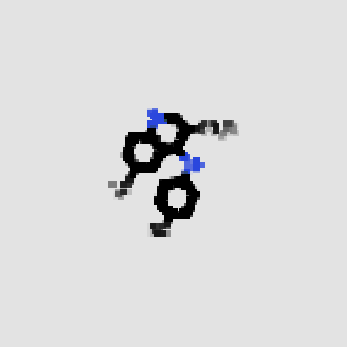 CCOC(=O)c1cnc2ccc(C(F)(F)F)cc2c1Nc1ccc(C#N)cc1